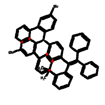 CC(C)(C)c1ccc(N(c2ccc3c(c2)C(C)(C)c2ccccc2C3=C(c2ccccc2)c2ccccc2)c2ccc(C(C)(C)C)cc2-c2ccccc2)c(-c2ccccc2)c1